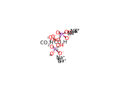 O=C([O-])O.O=C([O-])O.O=P([O-])(O)O.O=P([O-])([O-])O.[K+].[Na+].[Na+].[Na+].[Na+]